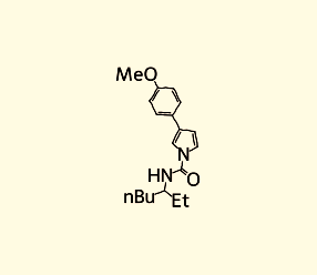 CCCCC(CC)NC(=O)n1ccc(-c2ccc(OC)cc2)c1